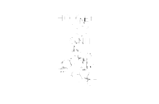 CCN(C(=O)O)C1CCC(NC(=O)N2C[C@@H](N(C)C(=O)N(C)c3cc(C(F)(F)F)cc(C(F)(F)F)c3)[C@H](c3ccc(F)cc3)C2)CC1